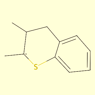 C[C]1Sc2ccccc2CC1C